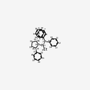 CCN(P(c1ccccc1)c1ccccc1)P1[C@@H](c2ccccc2)CC[C@@H]1c1ccccc1